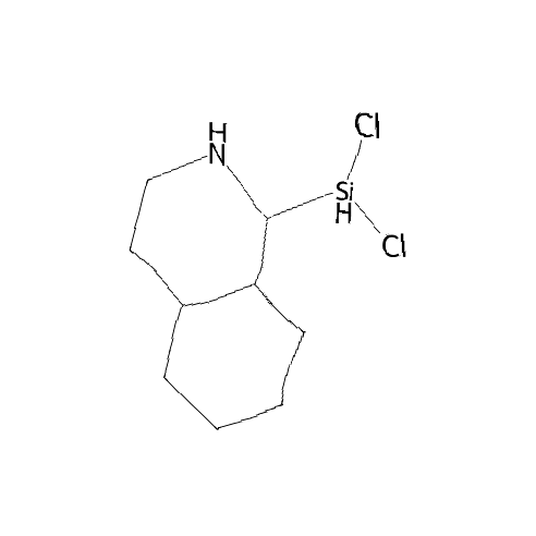 Cl[SiH](Cl)C1NCCC2CCCCC21